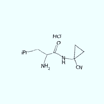 CC(C)CC(N)C(=O)NC1(C#N)CC1.Cl